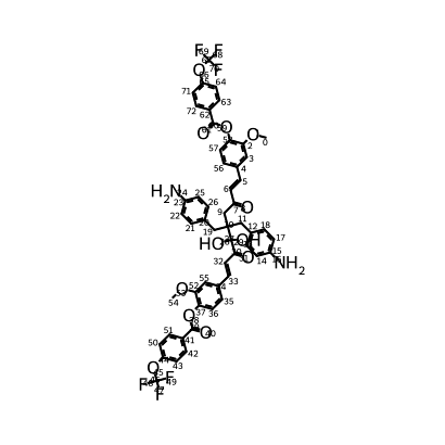 COc1cc(C=CC(=O)CC(Cc2ccc(N)cc2)(Cc2ccc(N)cc2)C(O)(O)C(=O)C=Cc2ccc(OC(=O)c3ccc(OC(F)(F)F)cc3)c(OC)c2)ccc1OC(=O)c1ccc(OC(F)(F)F)cc1